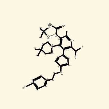 Cc1nc(C(F)F)c(-c2ccc(OCCc3ccc(F)cc3)cc2)c(N2CCC(C)(C)CC2)c1[C@H](OC(C)(C)C)C(=O)O